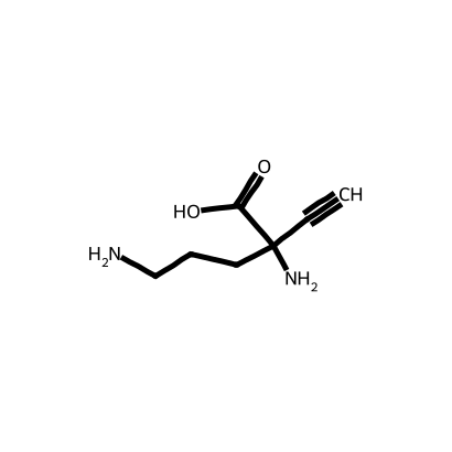 C#CC(N)(CCCN)C(=O)O